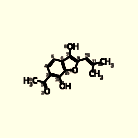 CC(=O)c1ccc2c(O)c(C=C(C)C)oc2c1O